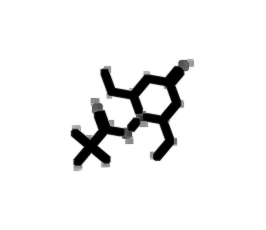 CCC1CC(=O)CC(CC)N1OC(=O)C(C)(C)C